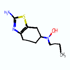 CCCN(O)C1CCc2nc(N)sc2C1